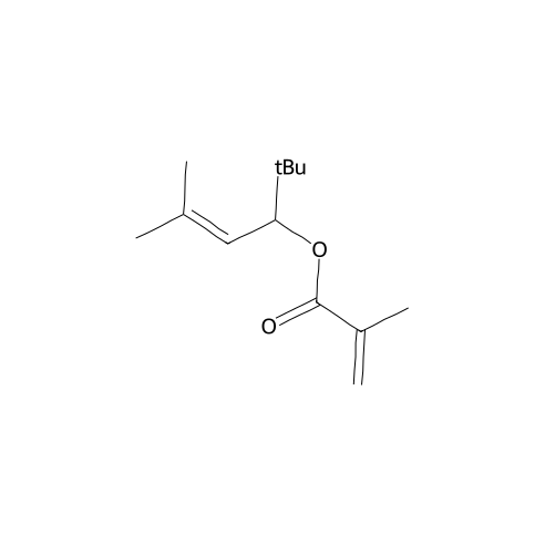 C=C(C)C(=O)OC(C=C(C)C)C(C)(C)C